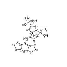 CC(C)(O)C1SC(S(=N)(N)=O)=CN1C(=O)Nc1c2c(cc3c1CCC3)CCC2